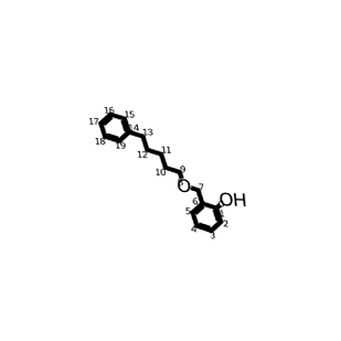 Oc1ccccc1COCCCCCc1ccccc1